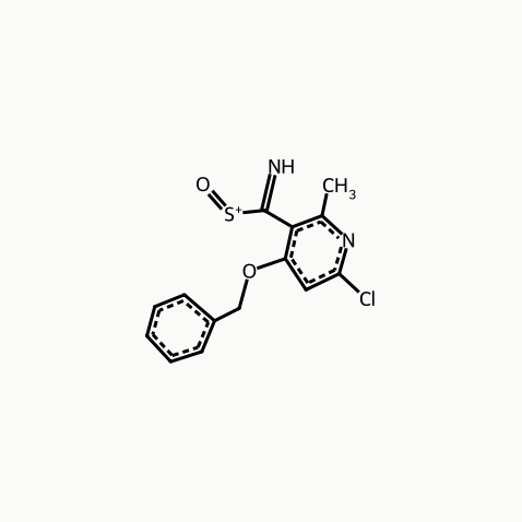 Cc1nc(Cl)cc(OCc2ccccc2)c1C(=N)[S+]=O